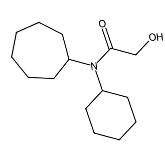 O=C(CO)N(C1CCCCCC1)C1CCCCC1